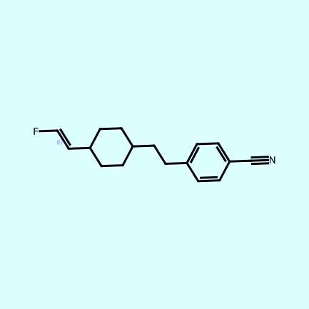 N#Cc1ccc(CCC2CCC(/C=C/F)CC2)cc1